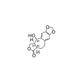 O=C1OC[C@@H]2[C@H]1CCc1cc3c(cc1[C@@H]2O)OCO3